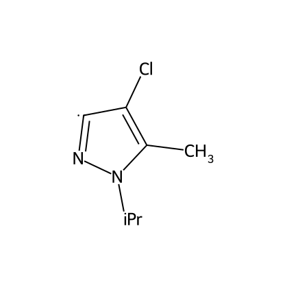 Cc1c(Cl)[c]nn1C(C)C